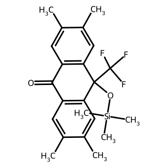 Cc1cc2c(cc1C)C(O[Si](C)(C)C)(C(F)(F)F)c1cc(C)c(C)cc1C2=O